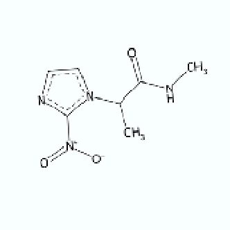 CNC(=O)C(C)n1ccnc1[N+](=O)[O-]